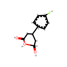 O=C1CC(c2ccc(F)cc2)CC(=O)O1